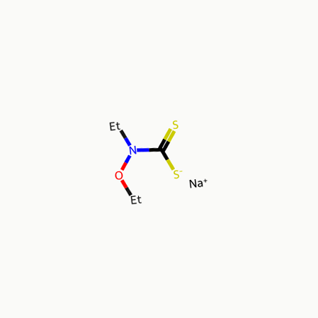 CCON(CC)C(=S)[S-].[Na+]